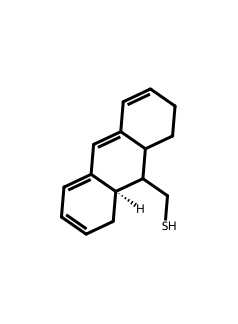 SCC1C2CCC=CC2=CC2=CC=CC[C@@H]21